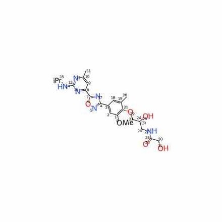 COc1cc(-c2noc(-c3cc(C)nc(NC(C)C)n3)n2)cc(C)c1OC[C@@H](O)CNC(=O)CO